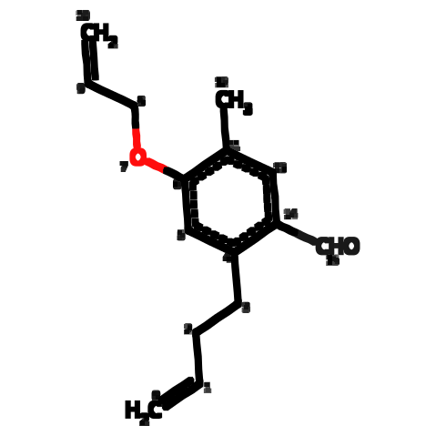 C=CCCc1cc(OCC=C)c(C)cc1C=O